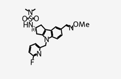 CON=Cc1ccc2c(c1)c1c(n2Cc2cccc(F)n2)C[C@H](NS(=O)(=O)N(C)C)C1